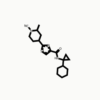 CC1CC(c2nc(C(=O)NC3(C4CCCCC4)CC3)cs2)CCN1C#N